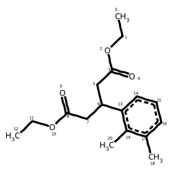 CCOC(=O)CC(CC(=O)OCC)c1cccc(C)c1C